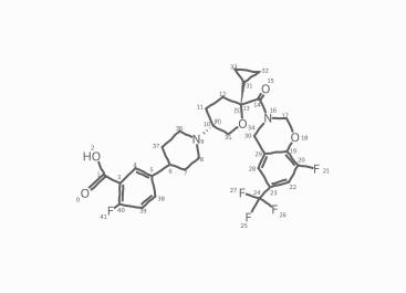 O=C(O)c1cc(C2CCN([C@@H]3CC[C@@](C(=O)N4COc5c(F)cc(C(F)(F)F)cc5C4)(C4CC4)OC3)CC2)ccc1F